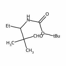 CCC(NC(=O)OC(C)(C)C)C(C)(C)C=O